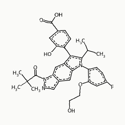 CC(C)c1c(-c2ccc(C(=O)O)cc2O)c2cc3c(cnn3C(=O)C(C)(C)C)cc2n1-c1ccc(F)cc1OCCO